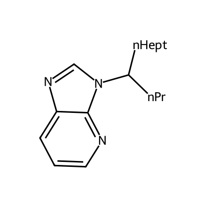 CCCCCCCC(CCC)n1cnc2cccnc21